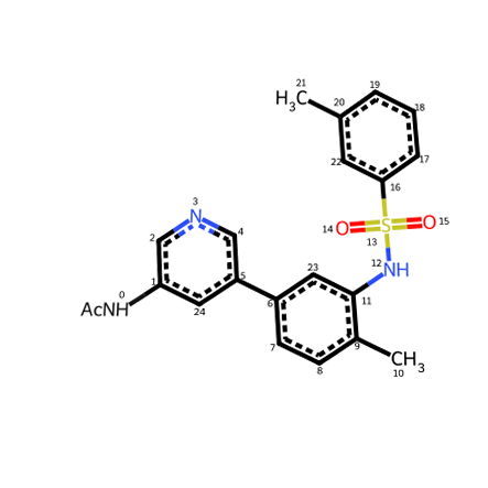 CC(=O)Nc1cncc(-c2ccc(C)c(NS(=O)(=O)c3cccc(C)c3)c2)c1